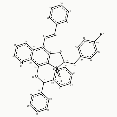 O=C1c2c(c(/C=C/c3ccccc3)c3cccnc3c2OC(c2ccccc2)c2ccccc2)CN1Cc1ccc(F)cc1